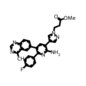 COC(=O)CCn1cc(-c2cc(-c3ccc4ncnc(C)c4c3)c(-c3ccc(F)cc3)nc2N)cn1